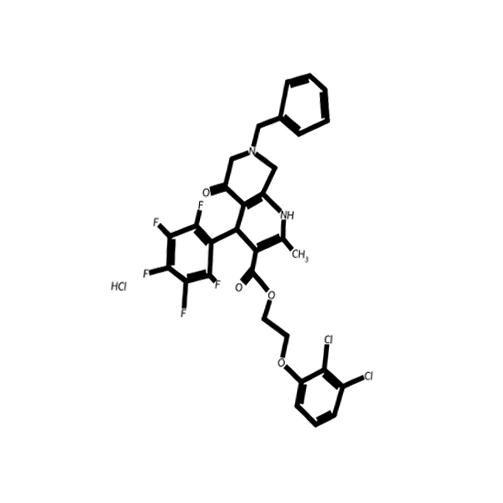 CC1=C(C(=O)OCCOc2cccc(Cl)c2Cl)C(c2c(F)c(F)c(F)c(F)c2F)C2=C(CN(Cc3ccccc3)CC2=O)N1.Cl